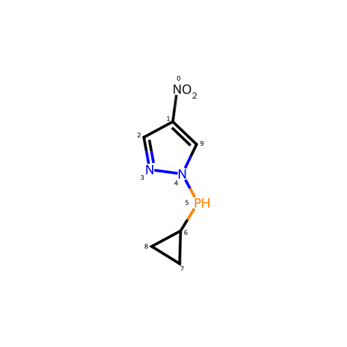 O=[N+]([O-])c1cnn(PC2CC2)c1